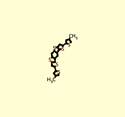 Cc1csc(-c2cc3sc4cc5sc6cc(-c7cc(C)cs7)sc6c5cc4c3s2)c1